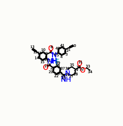 C#Cc1ccc(NC(=O)c2cc(C#C)ccc2NC(=O)c2ccc(C(=N)N3CCC(C(=O)OCC)CC3)cc2F)cc1